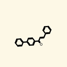 O=C(C=Cc1ccccc1)c1ccc(-c2ccccc2)cc1